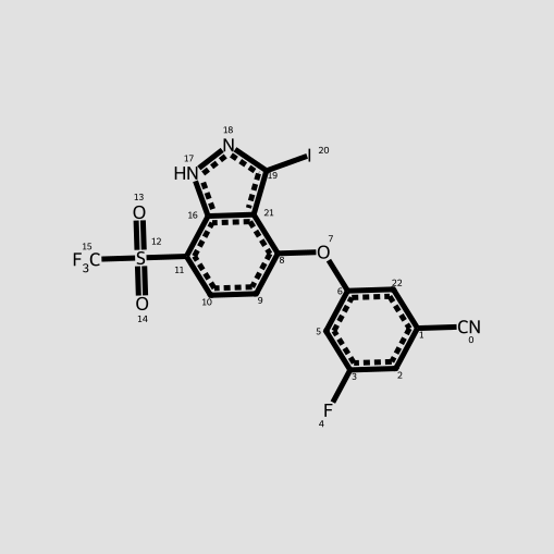 N#Cc1cc(F)cc(Oc2ccc(S(=O)(=O)C(F)(F)F)c3[nH]nc(I)c23)c1